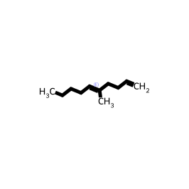 C=CCC/C(C)=C/CCCC